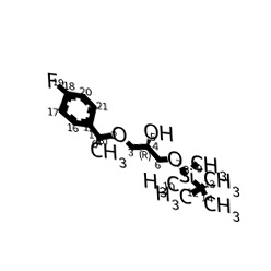 C[C@H](OC[C@@H](O)CO[Si](C)(C)C(C)(C)C)c1ccc(F)cc1